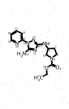 CCOC(=O)N1CCC(Nc2nc(N)n(-c3ccccn3)n2)C1